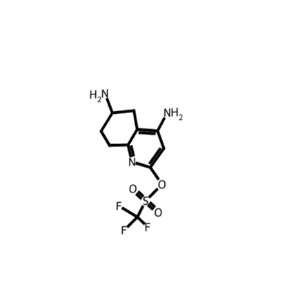 Nc1cc(OS(=O)(=O)C(F)(F)F)nc2c1CC(N)CC2